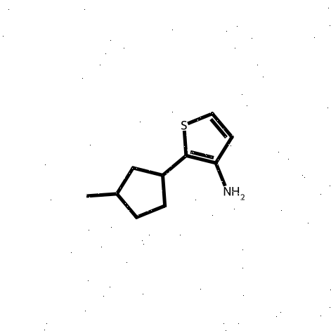 CC1CCC(c2sccc2N)C1